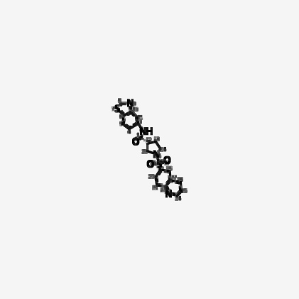 O=C(Nc1ccc2scnc2c1)[C@@H]1CCN(S(=O)(=O)c2ccc3ncccc3c2)C1